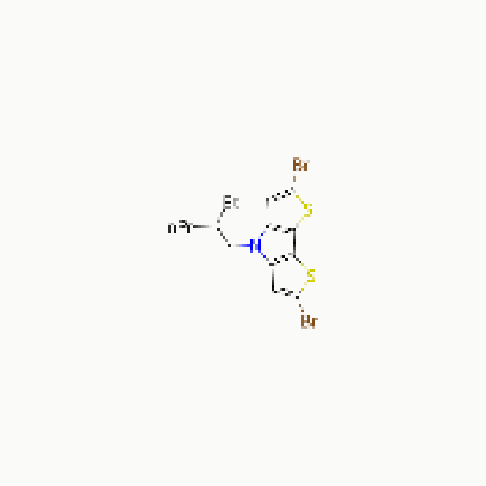 CCCC(CC)Cn1c2cc(Br)sc2c2sc(Br)cc21